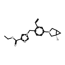 C=Cc1cc(N2CC3C[C@H]3C2)ccc1Cn1cnc(C(=O)OCC)c1